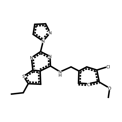 CCc1cc2c(NCc3ccc(OC)c(Cl)c3)nc(-n3cccn3)nc2s1